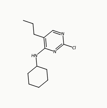 CCCc1cnc(Cl)nc1NC1CCCCC1